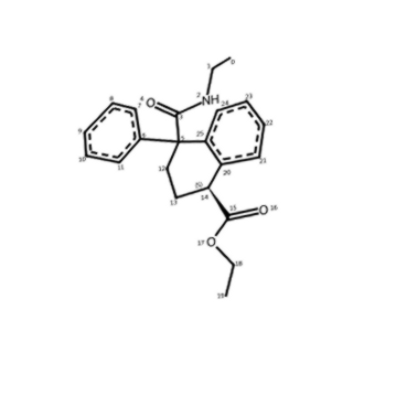 CCNC(=O)C1(c2ccccc2)CC[C@H](C(=O)OCC)c2ccccc21